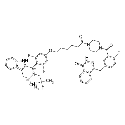 C[C@@H]1Cc2c([nH]c3ccccc23)[C@@H](c2c(F)cc(OCCCCCC(=O)N3CCN(C(=O)c4cc(Cc5n[nH]c(=O)c6ccccc56)ccc4F)CC3)cc2F)N1CC(C)(C)F